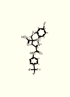 O=C(Nc1ccc(C(F)(F)F)cc1)C1=NN2c3ccc(F)cc3OCC2(C(=O)O)C1